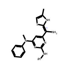 CC1=CS/C(=C(/N)c2cc(N(C)c3ccccc3)nc(NC(C)C)n2)N1